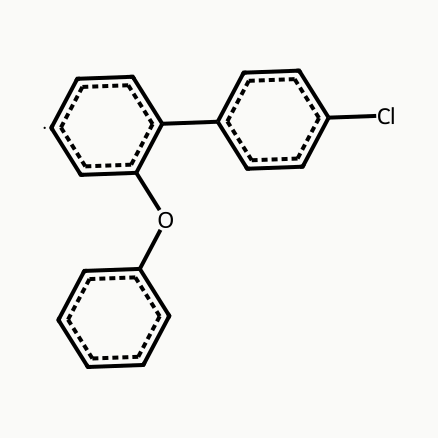 Clc1ccc(-c2cc[c]cc2Oc2ccccc2)cc1